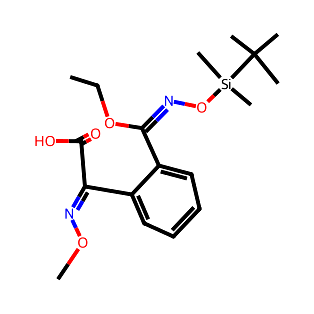 CCO/C(=N/O[Si](C)(C)C(C)(C)C)c1ccccc1/C(=N\OC)C(=O)O